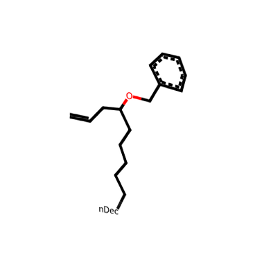 C=CCC(CCCCCCCCCCCCCCC)OCc1ccccc1